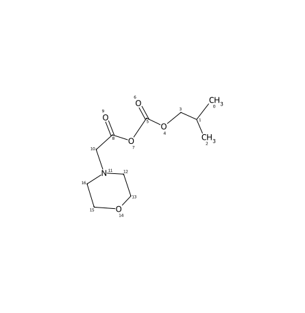 CC(C)COC(=O)OC(=O)CN1CCOCC1